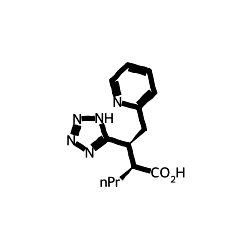 CCC[C@H](C(=O)O)[C@H](Cc1ccccn1)c1nnn[nH]1